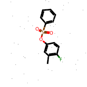 Cc1cc(OS(=O)(=O)c2ccccc2)ccc1F